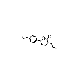 CCCC1CCC(c2ccc(Cl)cc2)OC1=O